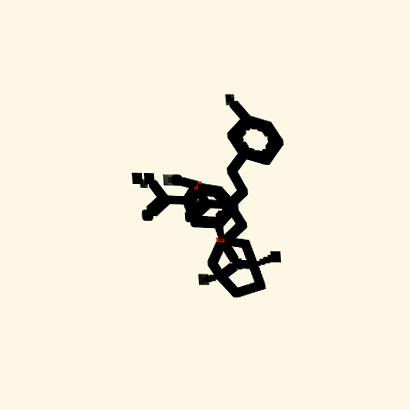 NC(=O)c1cccc([C@H]2C[C@H]3CC[C@@H](C2)N3CCN(CCc2cccc(F)c2)C(=O)CO)c1